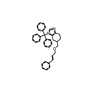 C(=Cc1ccccc1)COCC1CCc2ncn(C(c3ccccc3)(c3ccccc3)c3ccccc3)c2C1